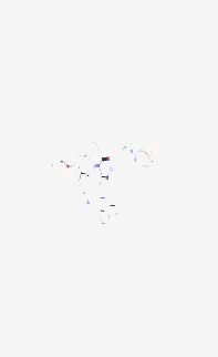 C=CC(=O)N1CCN(c2c(C#N)c(OCCN3CCCC(OC)C3)nc3c2CCN(c2cccc4cccc(C)c24)C3)CC1CC#N